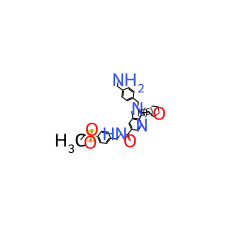 CCS(=O)(=O)c1ccc(CNC(=O)c2cnc3c(c2)CN(Cc2ccc(CN)cc2)[C@H]3[C@@H]2CCOC2)cc1